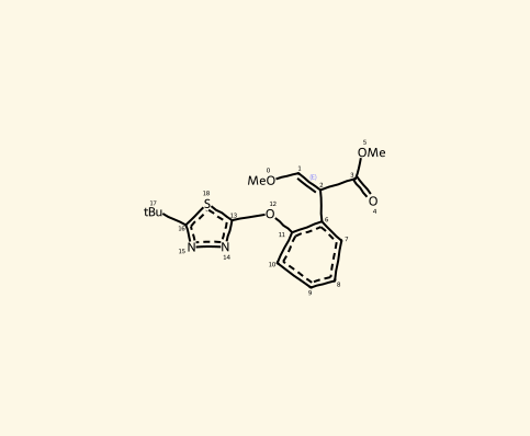 CO/C=C(/C(=O)OC)c1ccccc1Oc1nnc(C(C)(C)C)s1